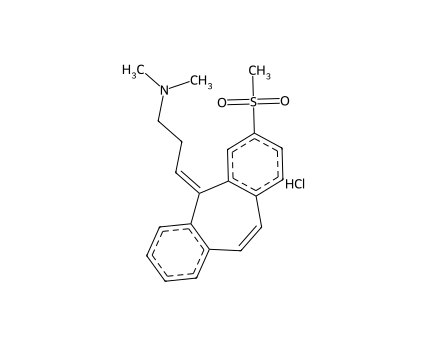 CN(C)CCC=C1c2ccccc2C=Cc2ccc(S(C)(=O)=O)cc21.Cl